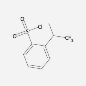 CC(c1ccccc1S(=O)(=O)Cl)C(F)(F)F